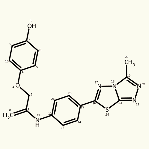 C=C(COc1ccc(O)cc1)Nc1ccc(-c2nn3c(C)nnc3s2)cc1